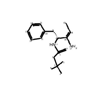 C=C(CC(C)(C)C)N[C@H](Cc1ccccc1)/C(N)=C\C